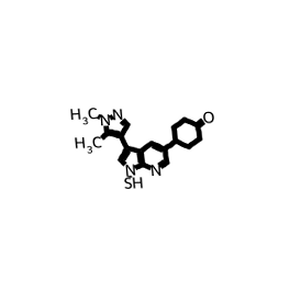 Cc1c(-c2cn(S)c3ncc(C4CCC(=O)CC4)cc23)cnn1C